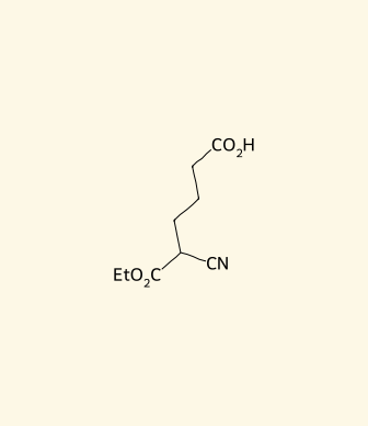 CCOC(=O)C(C#N)CCCC(=O)O